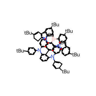 CC(C)(C)C1=Cc2c(n3c4c(cc(C(C)(C)C)cc24)B2c4c-3cc(-c3c(N(C5=CCC(C(C)(C)C)C=C5)c5ccc(C(C)(C)C)cc5)cccc3N(c3ccc(C(C)(C)C)cc3)c3ccc(C(C)(C)C)cc3)cc4-n3c4ccc(C(C)(C)C)cc4c4cc(C(C)(C)C)cc2c43)CC1